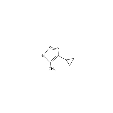 CC1=C(C2CC2)P=P[N]1